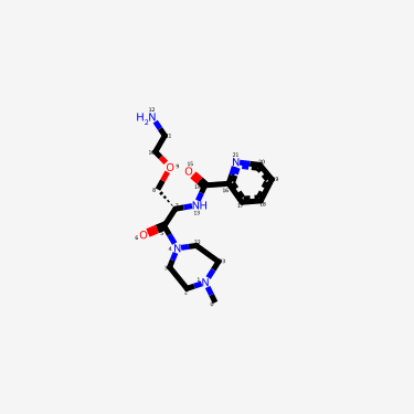 CN1CCN(C(=O)[C@H](COCCN)NC(=O)c2ccccn2)CC1